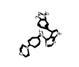 CCn1nnc2ccc(-c3c[nH]c4ncnc(NC5CCC(N6CCOCC6)CC5)c34)cc21